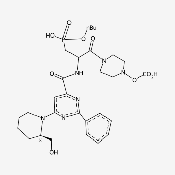 CCCCOP(=O)(O)CC(NC(=O)c1cc(N2CCCC[C@@H]2CO)nc(-c2ccccc2)n1)C(=O)N1CCN(OC(=O)O)CC1